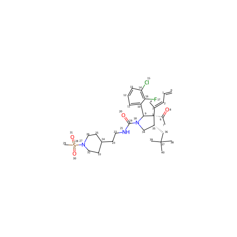 C=C/C=C(\C)[C@]1(C(C)=O)C(c2cccc(Cl)c2F)N(C(=O)NCCC2CCN(S(C)(=O)=O)CC2)C[C@H]1CC(C)(C)C